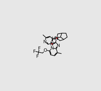 Cc1cc(N2CC3CCC(C2)C3Nc2nc3c(C)ccc(OCC(F)(F)F)n3n2)ncn1